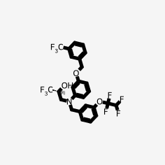 O[C@H](CN(Cc1cccc(OC(F)(F)C(F)F)c1)c1cccc(OCc2cccc(C(F)(F)F)c2)c1)C(F)(F)F